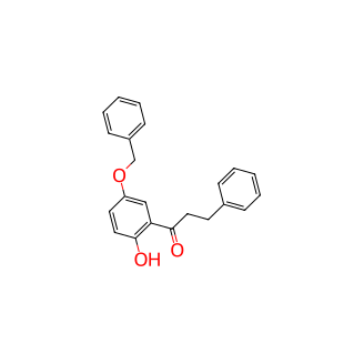 O=C(CCc1ccccc1)c1cc(OCc2ccccc2)ccc1O